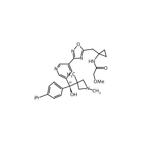 COCC(=O)NC1(Cc2nc(-c3cncc([C@@](O)(c4ccc(C(C)C)cc4)C4(C)CN(C)C4)c3)no2)CC1